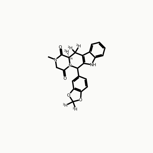 [2H]C1([2H])Oc2ccc(C3c4[nH]c5ccccc5c4C([2H])([2H])[C@]4([2H])C(=O)N(C)CC(=O)N34)cc2O1